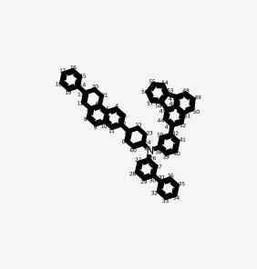 C1=C(c2ccc3c4c(ccc3c2)C=C(c2ccccc2)CC4)CCC(N(c2cccc(-c3ccccc3)c2)c2cccc(-c3cc4c5c(cccc5c3)-c3ccccc3-4)c2)=C1